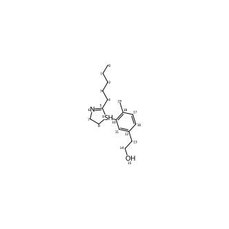 CCCCCC1=NCC[SH]1c1cc(CCO)ccc1C